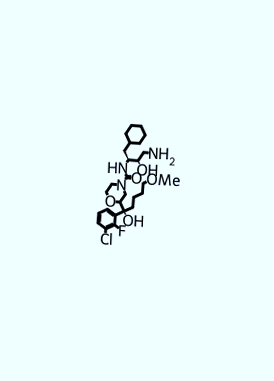 COCCCC[C@@](O)(c1cccc(Cl)c1F)C1CN(C(=O)N[C@@H](CC2CCCCC2)[C@@H](O)CN)CCO1